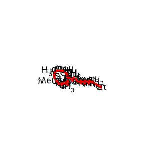 CCOCCOCCNC(=O)c1cnc(N2CCN(c3ncc(CNC(=O)O[C@@H]4CC[C@@H](C[C@@H](N)[C@@H]5CC(=O)[C@H](C)/C=C(\C)[C@@H](O)[C@@H](O)C(=O)[C@H](C)C[C@H](C)/C=C/C=C/C=C(\C)[C@@H](OC)C[C@@H]6CC[C@@H](C)[C@@](O)(O6)C(=O)C(=O)N6CCCC[C@H]6C(=O)O5)C[C@H]4OC)cn3)CC2)nc1N